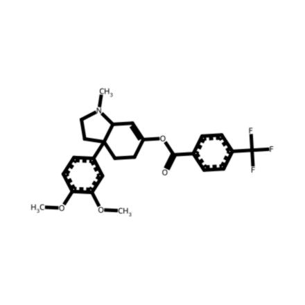 COc1ccc(C23CCC(OC(=O)c4ccc(C(F)(F)F)cc4)=CC2N(C)CC3)cc1OC